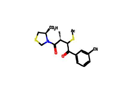 CC(=O)SC(C(=O)c1cccc(C#N)c1)[C@@H](C)C(=O)N1CSC[C@H]1C(=O)O